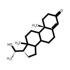 C[C@H](O)[C@H]1CCC2C3CCC4=CC(=O)CC[C@@]4(C)C3CCC21C